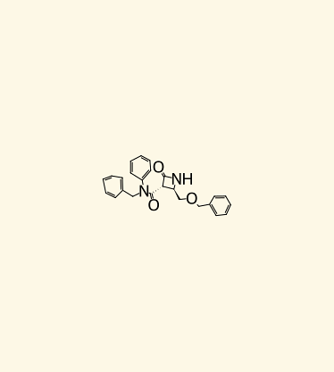 O=C1N[C@@H](COCc2ccccc2)[C@@H]1C(=O)N(Cc1ccccc1)c1ccccc1